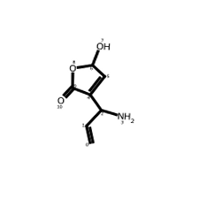 C=CC(N)C1=CC(O)OC1=O